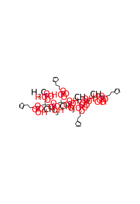 COP(=O)(O)OCC(C)(COP(=O)(O)OCCCC1=CC=CC1)COP(=O)(O)OCC(C)(COP(=O)(O)OCCCC1=CC=CC1)COP(=O)(O)OCC(C)(COP(=O)(O)OCCCC1=CC=CC1)COP(=O)(O)OCC(C)(CO)COP(=O)(O)OCCCC1=CC=CC1